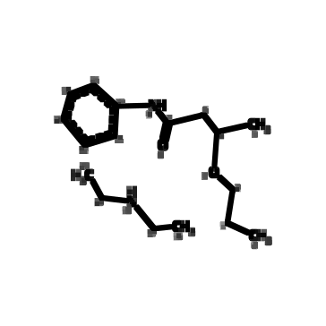 CCCOC(C)CC(=O)Nc1ccccc1.CCNCC